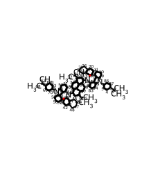 CC(C)c1ccc(-n2c3ccccc3c3c(N(c4cccc5c4CCCC5)c4cc(C(C)C)c5ccc6c(N(c7cccc8c7CCCC8)c7cccc8c7c7ccccc7n8-c7ccc(C(C)C)cc7)cc(C(C)C)c7ccc4c5c76)cccc32)cc1